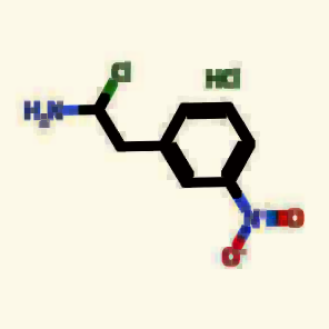 Cl.NC(Cl)Cc1cccc([N+](=O)[O-])c1